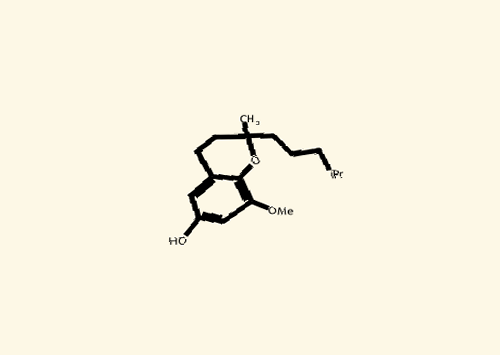 COc1cc(O)cc2c1OC(C)(CCCC(C)C)CC2